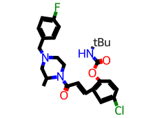 CC1CN(Cc2ccc(F)cc2)CCN1C(=O)/C=C/c1cc(Cl)ccc1OC(=O)NC(C)(C)C